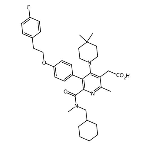 Cc1nc(C(=O)N(C)CC2CCCCC2)c(-c2ccc(OCCc3ccc(F)cc3)cc2)c(N2CCC(C)(C)CC2)c1CC(=O)O